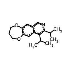 CC(C)c1ncc2cc3c(cc2c1C(C)C)OCCCO3